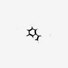 O=S(=O)(O)c1c(Cl)c(Cl)c2c(S(=O)(=O)O)c(Cl)sc2c1Cl